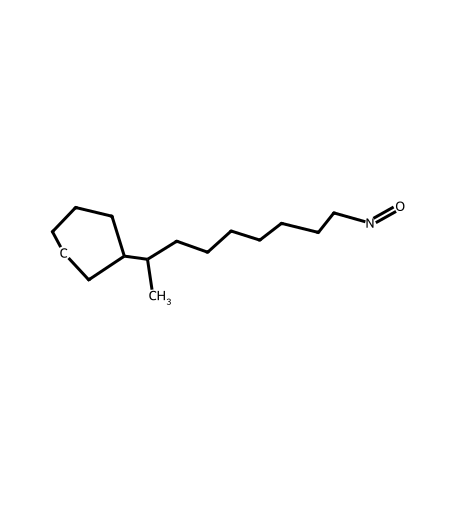 CC(CCCCCCCN=O)C1CCCCC1